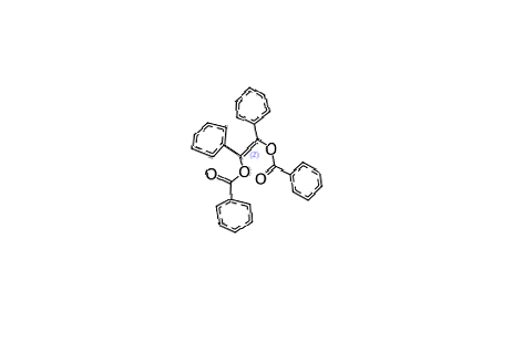 O=C(O/C(=C(\OC(=O)c1ccccc1)c1ccccc1)c1ccccc1)c1ccccc1